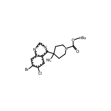 CCCCOC(=O)N1CCC(C#N)(c2ncnc3cc(Br)c(Cl)cc23)CC1